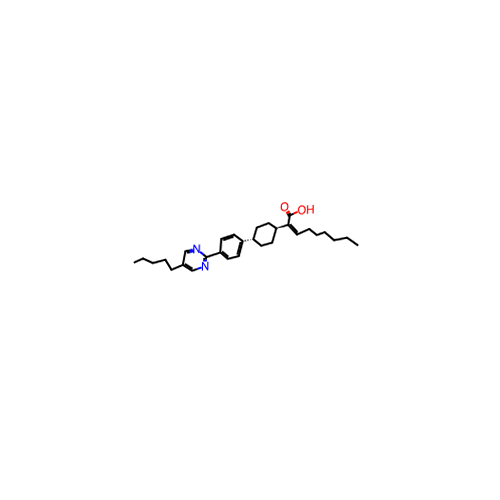 CCCCCCC=C(C(=O)O)[C@H]1CC[C@H](c2ccc(-c3ncc(CCCCC)cn3)cc2)CC1